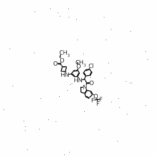 CCOC(=O)C1CC(Nc2cc(NC(C(=O)N3CCc4ccc(OC(F)(F)F)cc43)c3ccc(Cl)cc3)cc(OC)c2)C1